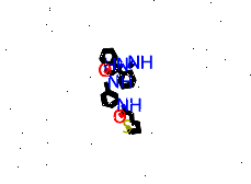 N=CNC(C(=O)NCc1cccc(NC(=O)Cc2cccs2)c1)(c1ccccc1)c1ccccc1